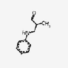 CC(C=O)CNc1cc[c]cc1